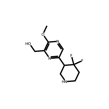 COc1ncc(C2CNCCC2(F)F)nc1CO